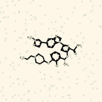 C[C@@H](Oc1cc(-n2cnc3cc(-c4cnn(C)c4)ccc32)sc1C(N)=O)c1cccc(OC2CCN(CCC(F)(F)F)CC2)c1Cl